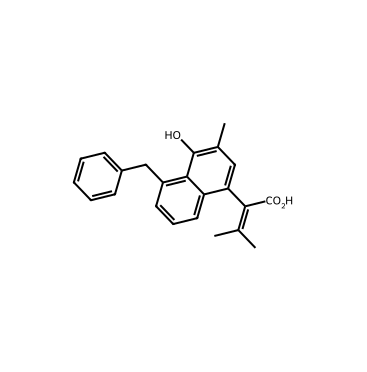 CC(C)=C(C(=O)O)c1cc(C)c(O)c2c(Cc3ccccc3)cccc12